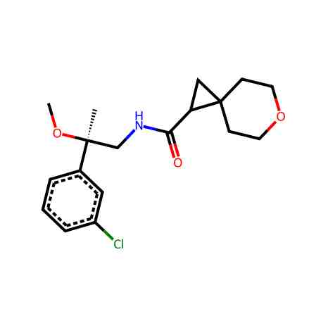 CO[C@@](C)(CNC(=O)C1CC12CCOCC2)c1cccc(Cl)c1